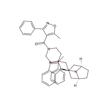 Cc1onc(-c2ccccc2)c1C(=O)N1CCC(CCN2[C@@H]3CC[C@H]2C[C@@H](n2c(C)nc4ccccc42)C3)(c2ccccc2)CC1